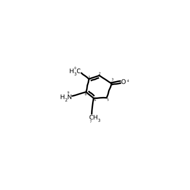 CC1=CC(=O)CC(C)=C1N